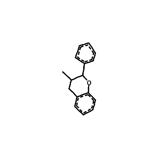 CC1Cc2ccccc2OC1c1ccccc1